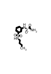 CCCCNS(=O)(=O)c1cccc(N[S+]([O-])C(N)=O)c1